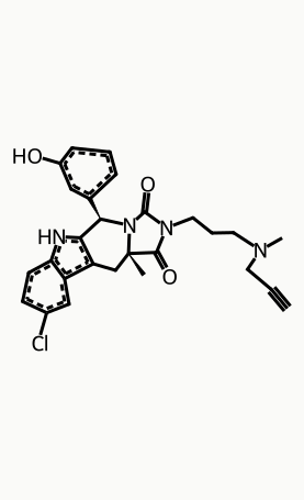 C#CCN(C)CCCN1C(=O)N2[C@H](c3cccc(O)c3)c3[nH]c4ccc(Cl)cc4c3C[C@@]2(C)C1=O